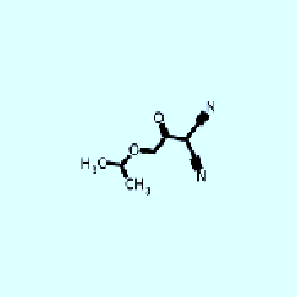 CC(C)OCC(=O)C(C#N)C#N